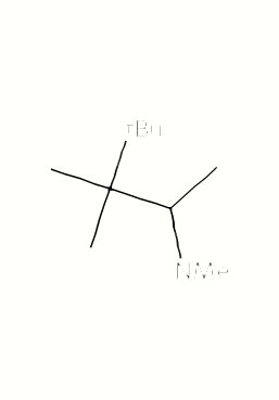 CNC(C)C(C)(C)C(C)(C)C